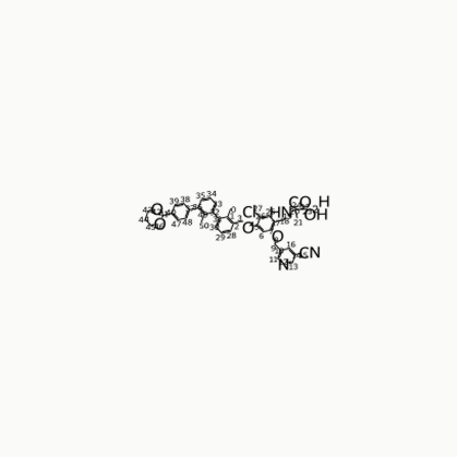 Cc1c(COc2cc(OCc3cncc(C#N)c3)c(CNC(C)(CO)C(=O)O)cc2Cl)cccc1-c1cccc(-c2ccc(C3OCCCO3)cc2)c1C